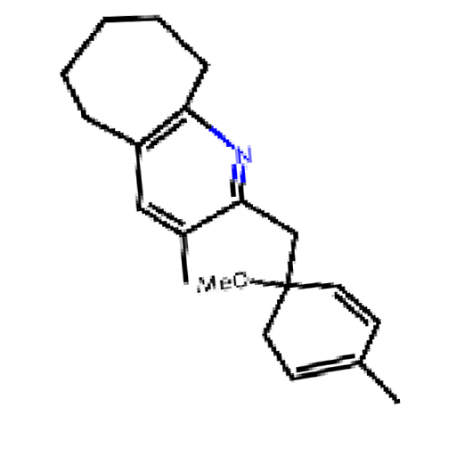 COC1(Cc2nc3c(cc2C)CCCCC3)C=CC(C)=CC1